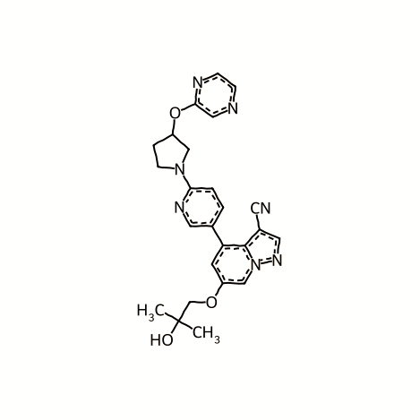 CC(C)(O)COc1cc(-c2ccc(N3CCC(Oc4cnccn4)C3)nc2)c2c(C#N)cnn2c1